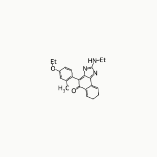 CCNC1=NC2=C(c3ccc(OCC)cc3C)C(=O)C3=CCCC=C3C2=N1